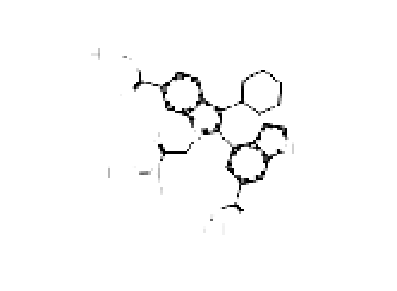 COC(=O)c1cc(-c2c(C3CCCCC3)c3ccc(C(=O)OC)cc3n2CC(=O)N(C)C)c2cc[nH]c2c1